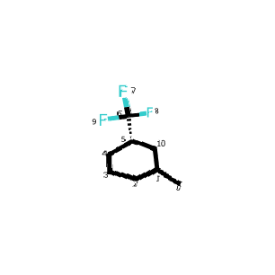 CC1CCC[C@H](C(F)(F)F)C1